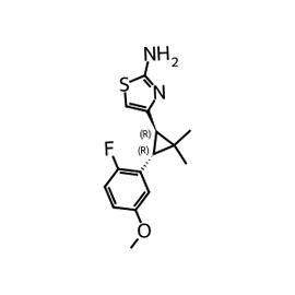 COc1ccc(F)c([C@@H]2[C@@H](c3csc(N)n3)C2(C)C)c1